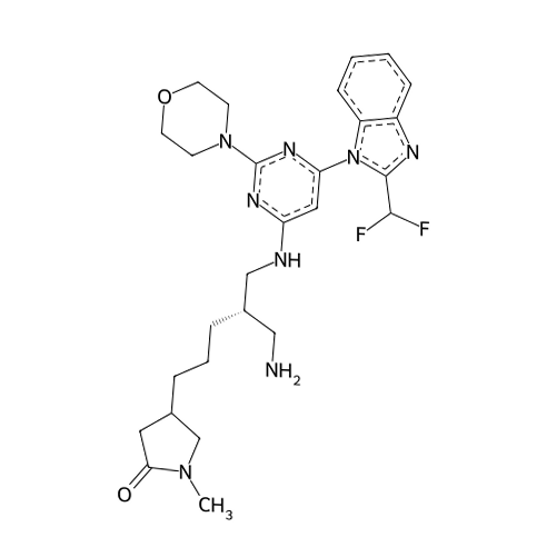 CN1CC(CCC[C@@H](CN)CNc2cc(-n3c(C(F)F)nc4ccccc43)nc(N3CCOCC3)n2)CC1=O